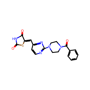 O=C1NC(=O)/C(=C/c2ccnc(N3CCN(C(=O)c4ccccc4)CC3)n2)S1